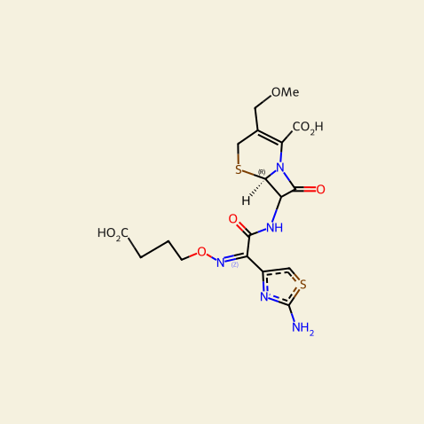 COCC1=C(C(=O)O)N2C(=O)C(NC(=O)/C(=N\OCCCC(=O)O)c3csc(N)n3)[C@H]2SC1